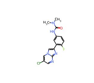 CN(C)C(=O)Nc1ccc(F)c(-c2cn3cc(Cl)cnc3n2)c1